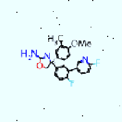 COc1ccc([C@]2(c3ccc(F)c(-c4ccc(F)nc4)c3)COC(N)=N2)cc1C